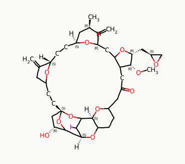 C=C1CC2CC[C@]34C[C@@H](O)C(O3)[C@@H]3OC5CCC(CC(=O)CC6C(C[C@H]7O[C@@H](CC[C@@H]1O2)C[C@@H](C)C7=C)O[C@H](C[C@H]1CO1)[C@@H]6OC)O[C@@H]5C(O4)C3I